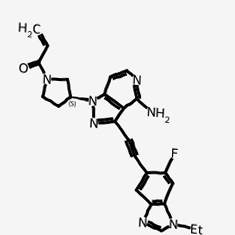 C=CC(=O)N1CC[C@H](n2nc(C#Cc3cc4ncn(CC)c4cc3F)c3c(N)nccc32)C1